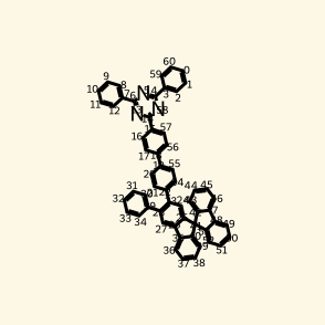 c1ccc(-c2nc(-c3ccccc3)nc(-c3ccc(-c4ccc(-c5cc6c(cc5-c5ccccc5)-c5ccccc5C65c6ccccc6-c6ccccc65)cc4)cc3)n2)cc1